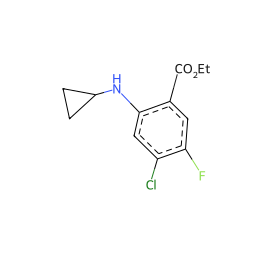 CCOC(=O)c1cc(F)c(Cl)cc1NC1CC1